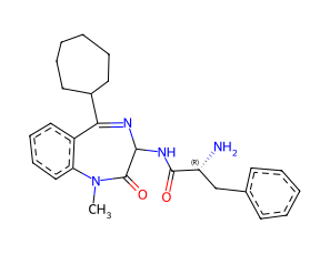 CN1C(=O)C(NC(=O)[C@H](N)Cc2ccccc2)N=C(C2CCCCCC2)c2ccccc21